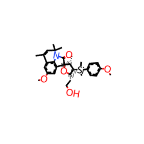 COc1ccc([Si](C)(C)[C@H]2[C@H](CCO)O[C@@]3(C(=O)N4c5c(cc(OC)cc53)C(C)=CC4(C)C)[C@@H]2C)cc1